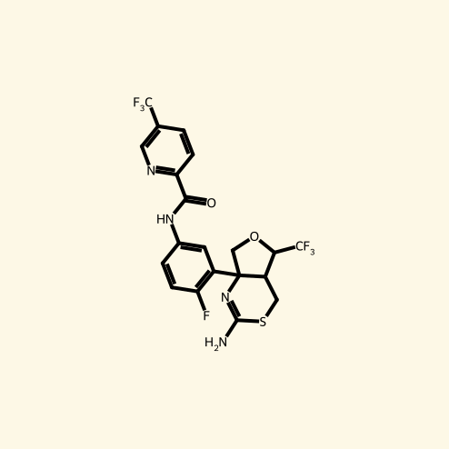 NC1=NC2(c3cc(NC(=O)c4ccc(C(F)(F)F)cn4)ccc3F)COC(C(F)(F)F)C2CS1